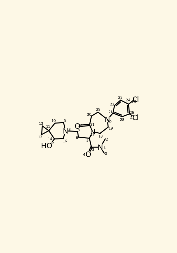 CN(C)C(=O)C(CCN1CCC2(CC2)C(O)C1)N1CCN(c2ccc(Cl)c(Cl)c2)CCC1=O